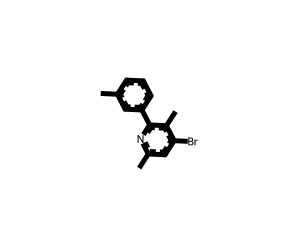 Cc1cccc(-c2nc(C)cc(Br)c2C)c1